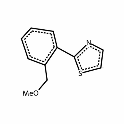 COCc1ccccc1-c1nc[c]s1